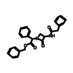 O=C(Cc1ccccc1)NC1CN(C(C(=O)OCc2ccccc2)c2ccccc2)C1=O